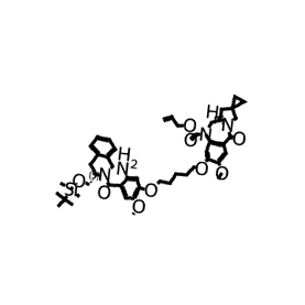 C=CCOC(=O)N1C[C@@H]2CC3(CC3)CN2C(=O)c2cc(OC)c(OCCCCCOc3cc(N)c(C(=O)N4Cc5ccccc5C[C@H]4CO[Si](C)(C)C(C)(C)C)cc3OC)cc21